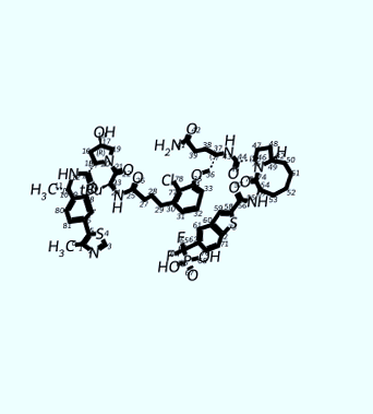 Cc1ncsc1-c1ccc([C@H](C)NC(=O)[C@@H]2C[C@@H](O)CN2C(=O)[C@@H](NC(=O)CCCc2cccc(OC[C@H](CCC(N)=O)NC(=O)[C@@H]3CC[C@@H]4CCCC[C@H](NC(=O)c5cc6cc(C(F)(F)P(=O)(O)O)ccc6s5)C(=O)N43)c2Cl)C(C)(C)C)cc1